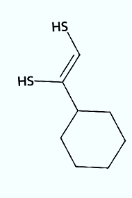 SC=C(S)C1CCCCC1